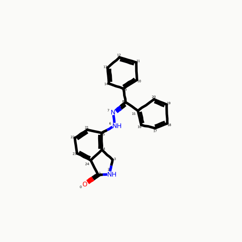 O=C1NCc2c(NN=C(c3ccccc3)c3ccccc3)cccc21